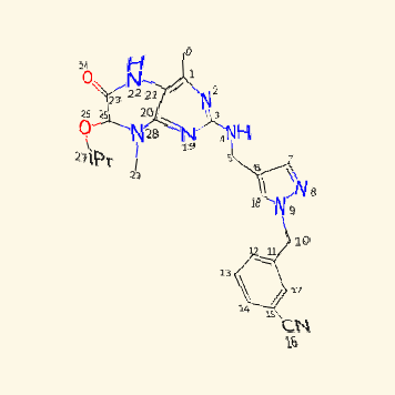 Cc1nc(NCc2cnn(Cc3cccc(C#N)c3)c2)nc2c1NC(=O)C(OC(C)C)N2C